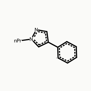 CCCn1cc(-c2[c]cccc2)cn1